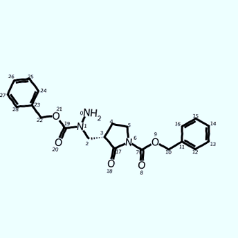 NN(C[C@@H]1CCN(C(=O)OCc2ccccc2)C1=O)C(=O)OCc1ccccc1